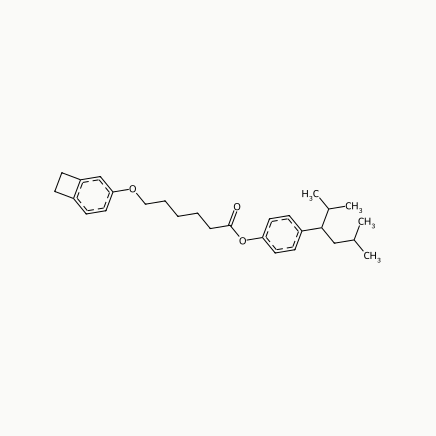 CC(C)CC(c1ccc(OC(=O)CCCCCOc2ccc3c(c2)CC3)cc1)C(C)C